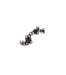 C[C@@H](C(=O)N[C@H](C(=O)N1Cc2cc(OCCOCCOCCOCCOc3cc4nccc(Nc5ccc6scnc6c5)c4cc3S(=O)(=O)C(C)(C)C)ccc2C[C@H]1C(=O)N[C@@H]1CCCc2ccccc21)C(C)(C)C)N(C)C(=O)OC(C)(C)C